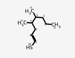 CCCC(C)C(C)CC=CS